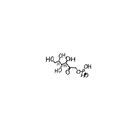 O=C(CO[PH](=O)O)[C@H](O)[C@@H](O)[C@H](O)CO